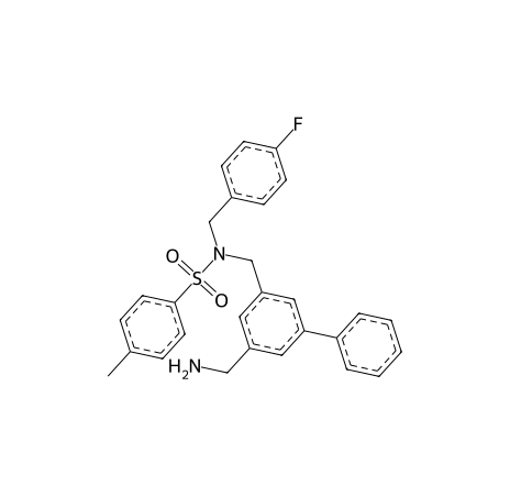 Cc1ccc(S(=O)(=O)N(Cc2ccc(F)cc2)Cc2cc(CN)cc(-c3ccccc3)c2)cc1